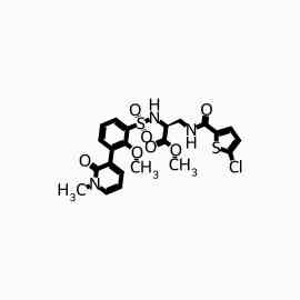 COC(=O)[C@H](CNC(=O)c1ccc(Cl)s1)NS(=O)(=O)c1cccc(-c2cccn(C)c2=O)c1OC